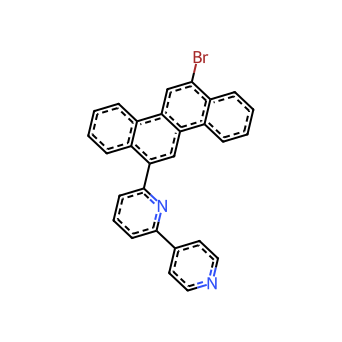 Brc1cc2c3ccccc3c(-c3cccc(-c4ccncc4)n3)cc2c2ccccc12